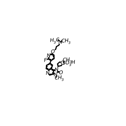 CN(C)CCCOc1ccc(-c2ccc3ncc4c(c3c2)n([C@H]2CCOC2)c(=O)n4C)c(F)n1.CS(=O)(=O)O